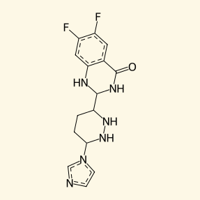 O=C1NC(C2CCC(n3ccnc3)NN2)Nc2cc(F)c(F)cc21